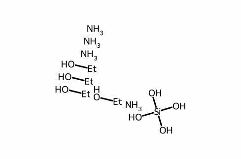 CCO.CCO.CCO.CCO.N.N.N.N.O[Si](O)(O)O